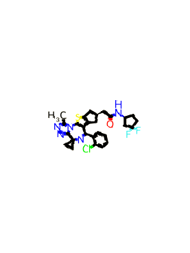 Cc1nnc2n1-c1sc3c(c1C(c1ccccc1Cl)=NC21CC1)C[C@H](CC(=O)N[C@H]1CCC(F)(F)C1)C3